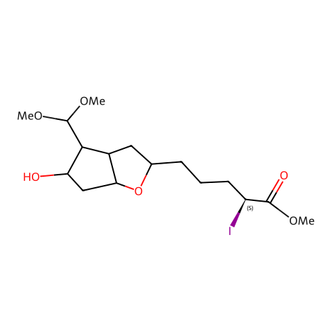 COC(=O)[C@@H](I)CCCC1CC2C(CC(O)C2C(OC)OC)O1